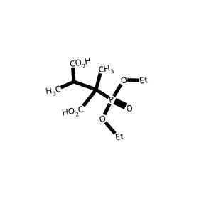 CCOP(=O)(OCC)C(C)(C(=O)O)C(C)C(=O)O